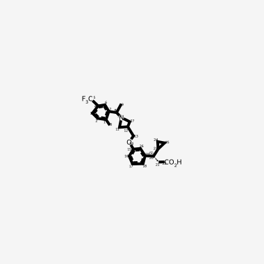 Cc1ccc(C(F)(F)F)cc1C(C)N1CC(COc2cccc([C@@H](CC(=O)O)C3CC3)c2)C1